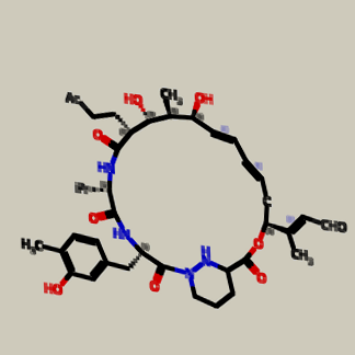 CC(=O)CC[C@H]1C(=O)N[C@@H](C(C)C)C(=O)N[C@@H](Cc2ccc(C)c(O)c2)C(=O)N2CCCC(N2)C(=O)O[C@H](/C(C)=C/C=O)C/C=C/C=C/[C@H](O)[C@H](C)[C@H]1O